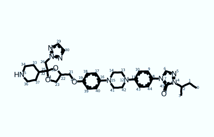 CCC(C)n1ncn(-c2ccc(N3CCN(c4ccc(OCC5COC(Cn6nccn6)(C6CCNCC6)O5)cc4)CC3)cc2)c1=O